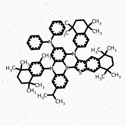 Cc1cc2c(cc1N1c3cc(C(C)C)ccc3B3c4sc5cc6c(cc5c4N(c4ccc5c(c4)C(C)(C)CCC5(C)C)c4cc(N(c5ccccc5)c5ccccc5)cc1c43)C(C)(C)CCC6(C)C)C(C)(C)CCC2(C)C